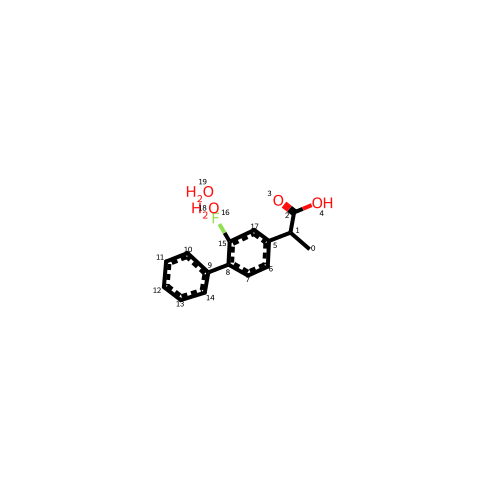 CC(C(=O)O)c1ccc(-c2ccccc2)c(F)c1.O.O